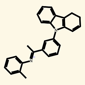 C/C(=N\c1ccccc1C)c1cccc(-n2c3c(c4ccccc42)CCC=C3)c1